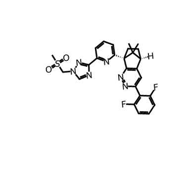 CC1(C)[C@H]2CC[C@]1(c1cccc(-c3ncn(CS(C)(=O)=O)n3)n1)c1nnc(-c3c(F)cccc3F)cc12